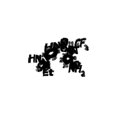 CCc1nn(-c2ccc(NC(=O)Oc3cc(C(F)(F)F)nn3-c3cccc(C(N)=O)c3)cc2)c(=N)s1